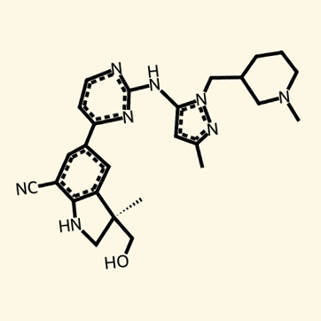 Cc1cc(Nc2nccc(-c3cc(C#N)c4c(c3)[C@@](C)(CO)CN4)n2)n(CC2CCCN(C)C2)n1